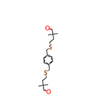 CC(C)(C=O)CCSCc1ccc(CSCCC(C)(C)C=O)cc1